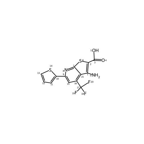 Nc1c(C(=O)O)sc2nc(-c3cccs3)cc(C(F)(F)F)c12